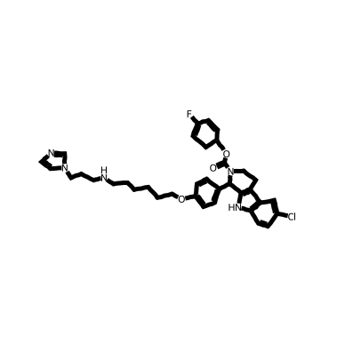 O=C(OC1C=CC(F)=CC1)N1CCc2c([nH]c3ccc(Cl)cc23)C1c1ccc(OCCCCCCNCCCn2ccnc2)cc1